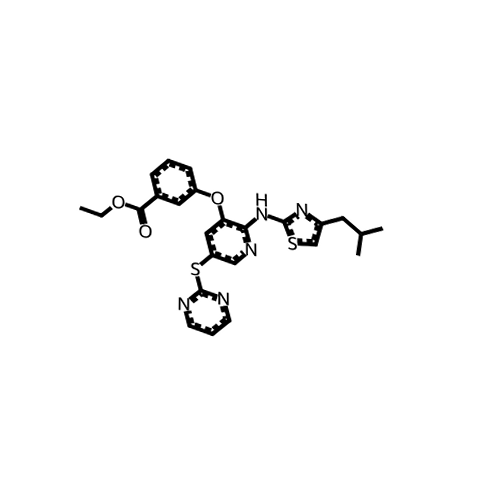 CCOC(=O)c1cccc(Oc2cc(Sc3ncccn3)cnc2Nc2nc(CC(C)C)cs2)c1